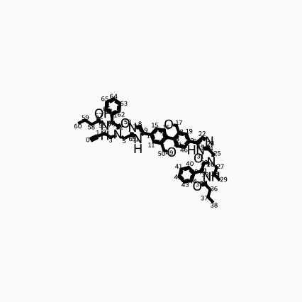 C#CCCN(Cc1ncc(-c2cc3c4c(c2)OCc2cc(-c5cnc(CN(CCC)C(=O)[C@H](NC(=O)CCC)c6ccccc6)[nH]5)cc(c2-4)OC3)[nH]1)C(=O)[C@H](NC(O)CCC)c1ccccc1